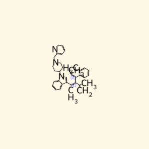 C=C(C)C(=C(\C)c1cn(C2CCN(Cc3ccccn3)CC2)c2ccccc12)/C(=C/C)c1ccccc1C